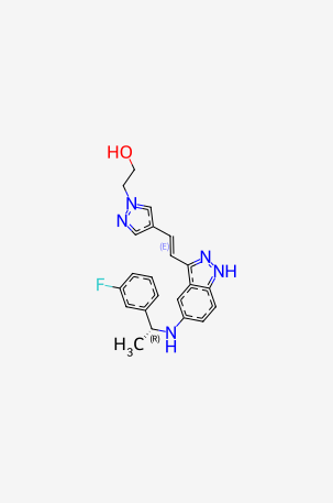 C[C@@H](Nc1ccc2[nH]nc(/C=C/c3cnn(CCO)c3)c2c1)c1cccc(F)c1